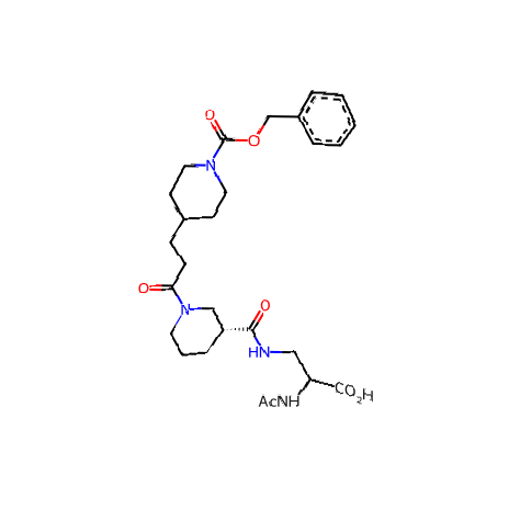 CC(=O)NC(CNC(=O)[C@@H]1CCCN(C(=O)CCC2CCN(C(=O)OCc3ccccc3)CC2)C1)C(=O)O